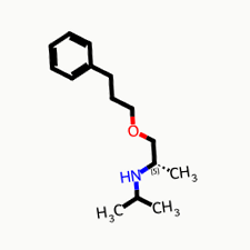 CC(C)N[C@@H](C)COCCCc1ccccc1